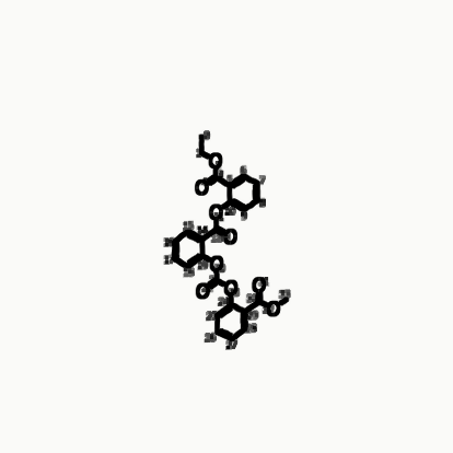 CCOC(=O)c1ccccc1OC(=O)c1ccccc1OC(=O)Oc1ccccc1C(=O)OC